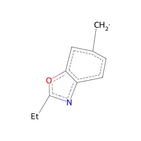 [CH2]c1ccc2nc(CC)oc2c1